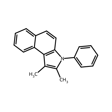 Cc1c(C)n(-c2ccccc2)c2ccc3ccccc3c12